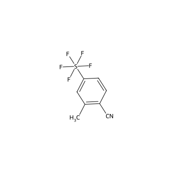 Cc1cc(S(F)(F)(F)(F)F)ccc1C#N